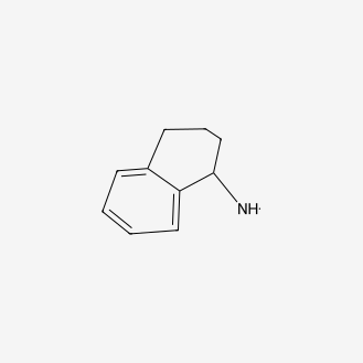 [NH]C1CCCc2ccccc21